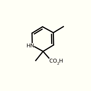 CC1=CC(C)(C(=O)O)NC=C1